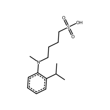 CC(C)c1ccccc1N(C)CCCCS(=O)(=O)O